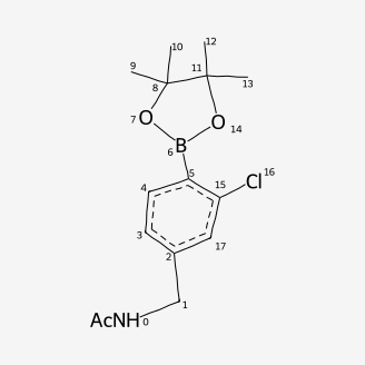 CC(=O)NCc1ccc(B2OC(C)(C)C(C)(C)O2)c(Cl)c1